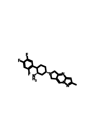 Cc1cc2nc3c(cn2n1)CN([C@H]1CCC(c2cc(F)c(F)cc2F)[C@@H](N)C1)C3